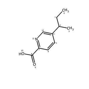 CCC(C)c1ccc(C(=O)O)nc1